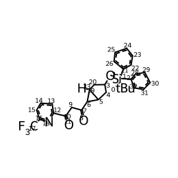 CC(C)(C)[Si](OC1CC2C(C(=O)CC(=O)c3cccc(C(F)(F)F)n3)[C@@H]2C1)(c1ccccc1)c1ccccc1